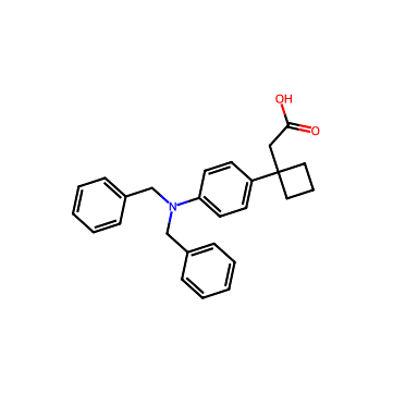 O=C(O)CC1(c2ccc(N(Cc3ccccc3)Cc3ccccc3)cc2)CCC1